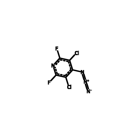 [N-]=[N+]=Nc1c(Cl)c(F)nc(F)c1Cl